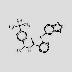 CC(NC(=O)c1cccnc1Oc1ccc2nsnc2c1)c1ccc(C(C)(C)O)cc1